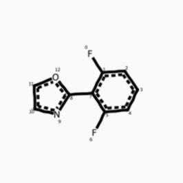 Fc1cccc(F)c1-c1n[c]co1